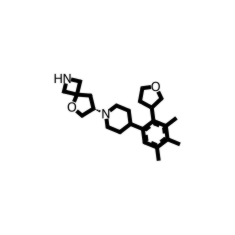 Cc1cc(C2CCN([C@@H]3COC4(CNC4)C3)CC2)c(C2CCOC2)c(C)c1C